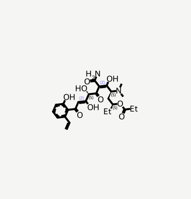 C=Cc1cccc(O)c1C(=O)/C=C(\O)[C@H](O)C(=O)/C(C(N)=O)=C(/O)[C@H](C[C@H](CC)OC(=O)CC)N(C)C